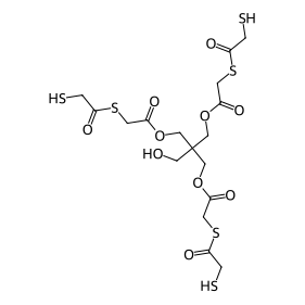 O=C(CSC(=O)CS)OCC(CO)(COC(=O)CSC(=O)CS)COC(=O)CSC(=O)CS